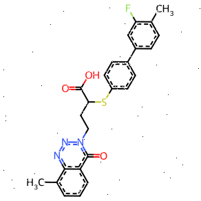 Cc1ccc(-c2ccc(SC(CCn3nnc4c(C)cccc4c3=O)C(=O)O)cc2)cc1F